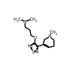 CN(C)CCCOc1nsnc1C1=CCCN(C)C1